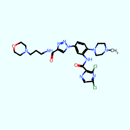 CN1CCN(c2ccc(-n3cc(C(=O)NCCCN4CCOCC4)nn3)cc2NC(=O)c2ncc(Cl)nc2Cl)CC1